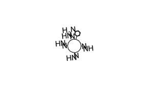 N=NC1CCCC(N=N)CCC(N=N)C(c2cccc(N)c2)CCC(N=N)CC1